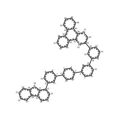 c1cc(-c2ccc(-c3cccc(-c4cccc5c4sc4ccccc45)c3)cc2)cc(-c2cccc(-c3cnc4c5ccccc5c5ccccc5c4n3)c2)c1